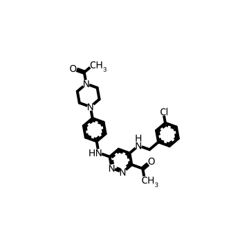 CC(=O)c1nnc(Nc2ccc(N3CCN(C(C)=O)CC3)cc2)cc1NCc1cccc(Cl)c1